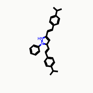 CC(C)c1ccc(C=CC2=CC(C=Cc3ccc(C(C)C)cc3)N(c3ccccc3)N2)cc1